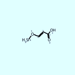 O=C(O)C=CO[SiH3]